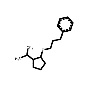 CC(C)C1CCCC1OCCCc1ccccc1